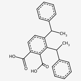 CC(c1ccccc1)c1ccc(C(=O)O)c(C(=O)O)c1C(C)c1ccccc1